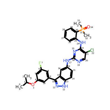 CC(C)Oc1cc(F)cc(-c2n[nH]c3ccc(Nc4ncc(Cl)c(Nc5ccccc5P(C)(C)=O)n4)cc23)c1